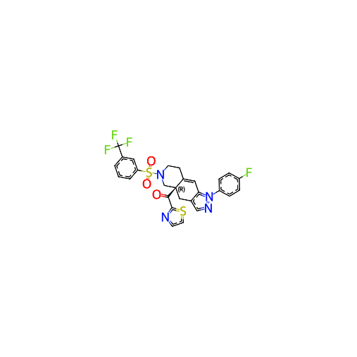 O=C(c1nccs1)[C@]12Cc3cnn(-c4ccc(F)cc4)c3C=C1CCN(S(=O)(=O)c1cccc(C(F)(F)F)c1)C2